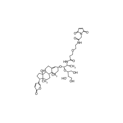 C[C@H](NC(=O)CCOCCNC(=O)CN1C(=O)C=CC1=O)[C@@H](OC(CO)[C@@H](O)CO)O[C@@H]1C=C2CCC3C(CC[C@]4(C)[C@@H](c5ccc(=O)oc5)CC[C@]34O)[C@@]2(C)CC1